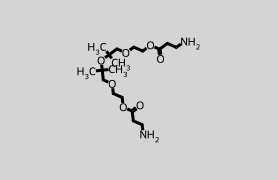 CC(C)(COCCOC(=O)CCN)OC(C)(C)COCCOC(=O)CCN